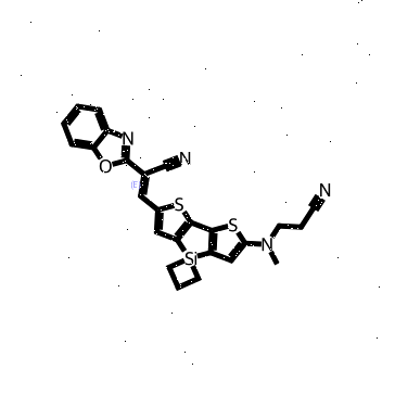 CN(CCC#N)c1cc2c(s1)-c1sc(/C=C(\C#N)c3nc4ccccc4o3)cc1[Si]21CCC1